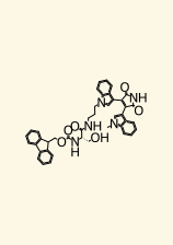 Cn1cc(C2=C(c3cn(CCCNC(=O)[C@H](CO)NC(=O)OCC4c5ccccc5-c5ccccc54)c4ccccc34)C(=O)NC2=O)c2ccccc21